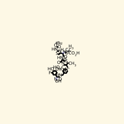 C[C@@H]1S[C@@H]2[C@H](NC(=O)/C(=N\OC(C)(C)C(=O)O)c3csc(NC(=O)OC(C)(C)C)n3)C(=O)N2C(C(=O)O)=C1C[N+]12CCC(CNC(=O)/C(=N\O)c3cc(O)c(O)c(F)c3)(CC1)CC2